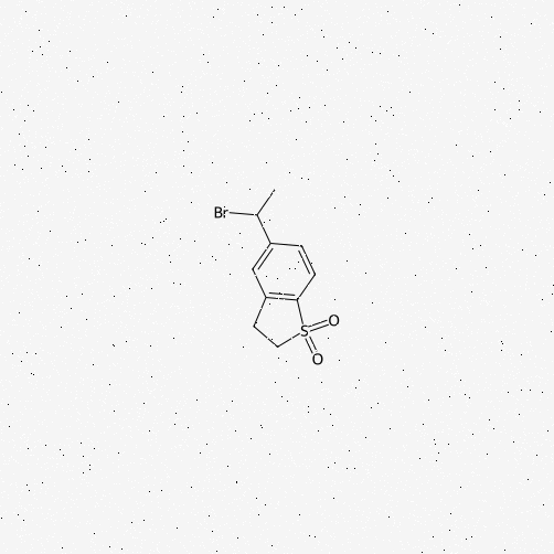 CC(Br)c1ccc2c(c1)CCS2(=O)=O